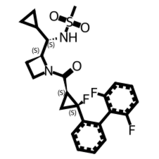 CS(=O)(=O)N[C@@H](C1CC1)[C@@H]1CCN1C(=O)[C@@H]1C[C@@]1(F)c1ccccc1-c1c(F)cccc1F